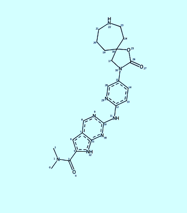 CN(C)C(=O)c1cc2cnc(Nc3ccc(N4CC5(CCCNCC5)OC4=O)cn3)nc2[nH]1